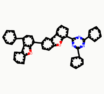 c1ccc(-c2nc(-c3ccccc3)nc(-c3cccc4c3oc3ccc(-c5ccc(-c6ccccc6)c6c5oc5ccccc56)cc34)n2)cc1